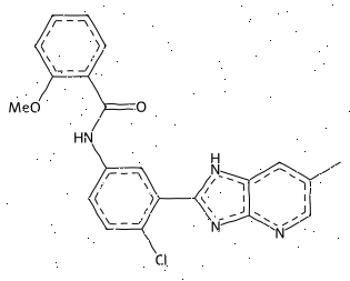 COc1ccccc1C(=O)Nc1ccc(Cl)c(-c2nc3ncc(C)cc3[nH]2)c1